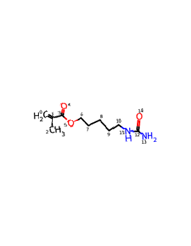 C=C(C)C(=O)OCCCCCNC(N)=O